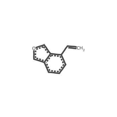 C=Cc1cccc2co[c]c12